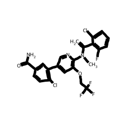 C=C(c1c(F)cccc1Cl)N(C)c1ncc(-c2cc(C(N)=O)ccc2Cl)cc1OCC(F)(F)F